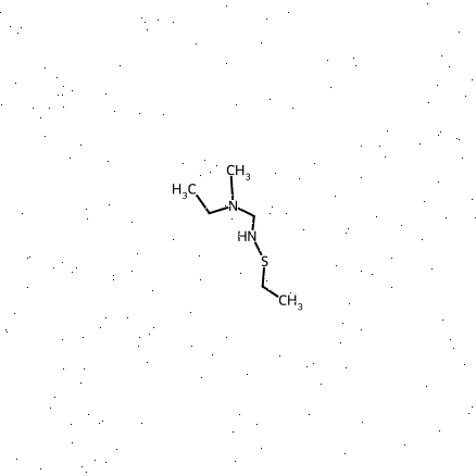 CCSNCN(C)CC